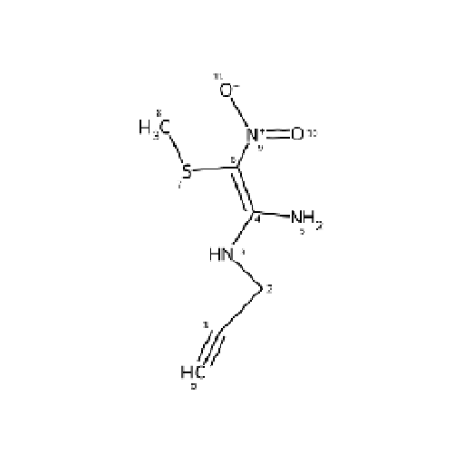 C#CCNC(N)=C(SC)[N+](=O)[O-]